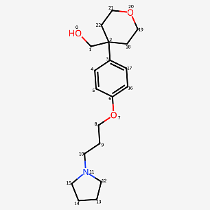 OCC1(c2ccc(OCCCN3CCCC3)cc2)CCOCC1